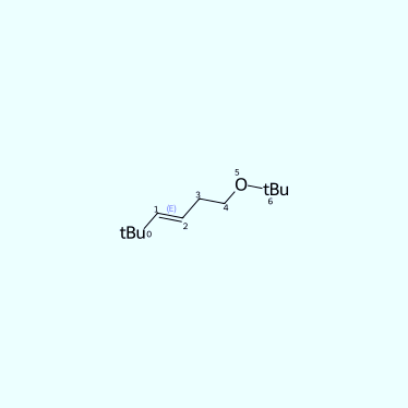 CC(C)(C)/C=C/CCOC(C)(C)C